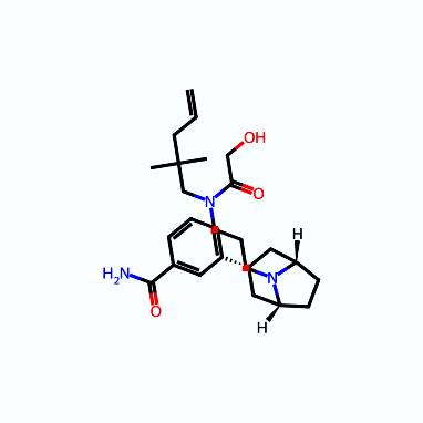 C=CCC(C)(C)CN(CCCN1[C@@H]2CC[C@H]1C[C@@H](c1cccc(C(N)=O)c1)C2)C(=O)CO